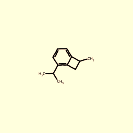 CC(C)c1cccc2c1CC2C